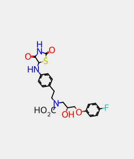 O=C1NC(=O)C(Nc2ccc(CCN(C[C@H](O)COc3ccc(F)cc3)C(=O)O)cc2)S1